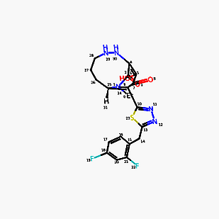 CCN1C(=O)/C2=C(\O)C(=O)/C(c3nnc(Cc4ccc(F)cc4F)s3)=C\[C@@H]1CCCNN2